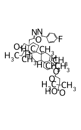 CC(C)C1=C2[C@H]3CC[C@@H]4[C@@]5(C)CC[C@H](OC(=O)CC(C)(C)C(=O)O)C(C)(C)[C@@H]5CC[C@@]4(C)[C@]3(C)CC[C@@]2(Cc2nnc(-c3ccc(F)cc3)o2)CC1=O